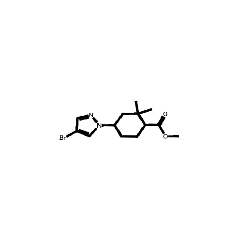 COC(=O)C1CCC(n2cc(Br)cn2)CC1(C)C